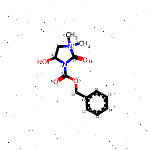 C[N+]1(C)CC(O)N(C(=O)OCc2ccccc2)C1=O